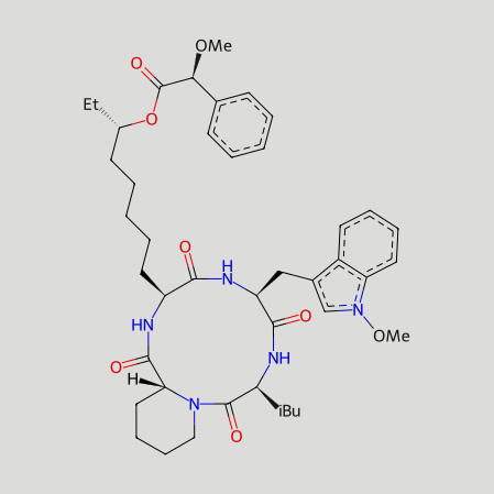 CCC(C)[C@@H]1NC(=O)[C@H](Cc2cn(OC)c3ccccc23)NC(=O)[C@H](CCCCC[C@H](CC)OC(=O)[C@@H](OC)c2ccccc2)NC(=O)[C@H]2CCCCN2C1=O